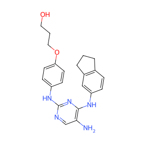 Nc1cnc(Nc2ccc(OCCCO)cc2)nc1Nc1ccc2c(c1)CCC2